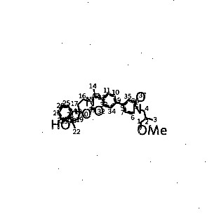 COCC(C)Cn1ccc(-c2ccc([C@H](C)N3CCC(CC(C)(C)O)(c4ccccc4)OC3=O)cc2)cc1=O